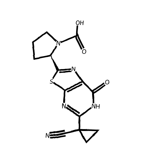 N#CC1(c2nc3sc([C@H]4CCCN4C(=O)O)nc3c(=O)[nH]2)CC1